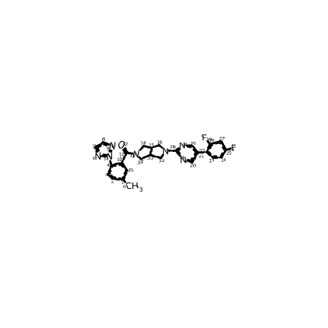 Cc1ccc(-n2nccn2)c(C(=O)N2CC3CN(c4ncc(-c5ccc(F)cc5F)cn4)CC3C2)c1